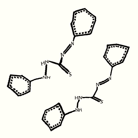 S=C(/N=N/c1ccccc1)NNc1ccccc1.S=C(/N=N/c1ccccc1)NNc1ccccc1